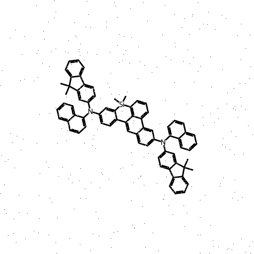 CC1(C)c2ccccc2-c2ccc(N(c3ccc4c(c3)[Si](C)(C)c3cccc5c3c-4cc3ccc(N(c4ccc6c(c4)C(C)(C)c4ccccc4-6)c4cccc6ccccc46)cc35)c3cccc4ccccc34)cc21